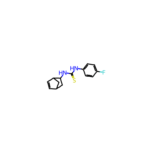 Fc1ccc(NC(=S)NC2CC3C=CC2C3)cc1